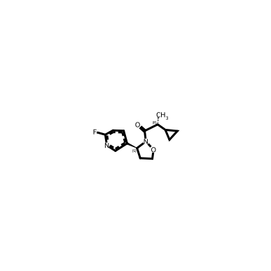 C[C@@H](C(=O)N1OCC[C@H]1c1ccc(F)nc1)C1CC1